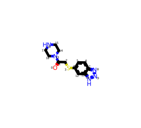 O=C(CSc1ccc2nn[nH]c2c1)N1CCNCC1